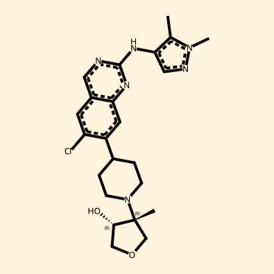 Cc1c(Nc2ncc3cc(Cl)c(C4CCN([C@]5(C)COC[C@@H]5O)CC4)cc3n2)cnn1C